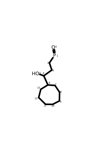 O=PCCC(O)C1CCCCCCC1